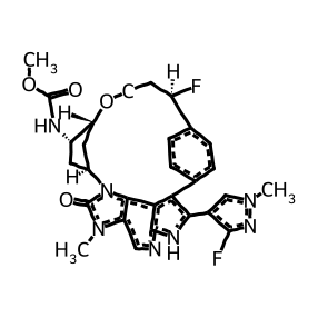 COC(=O)N[C@H]1C[C@H]2C[C@H]1OCC[C@@H](F)c1ccc(cc1)-c1c(-c3cn(C)nc3F)[nH]c3ncc4c(c13)n2c(=O)n4C